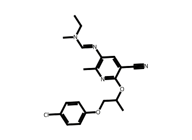 CCN(C)/C=N/c1cc(C#N)c(OC(C)COc2ccc(Cl)cc2)nc1C